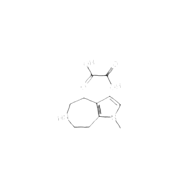 Cn1ccc2c1CCNCC2.O=C(O)C(=O)O